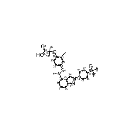 Cc1cc(SC(C)c2cccc3nn(-c4ccc(C(F)(F)F)cc4)cc23)ccc1OC(C)(C)C(=O)O